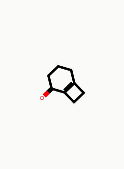 O=C1CCCC2=C1CC2